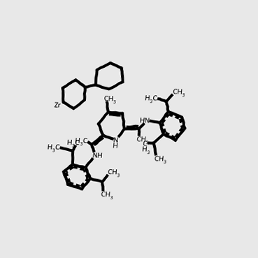 C1CCC(C2CCCCC2)CC1.CC1=C/C(=C(/C)Nc2c(C(C)C)cccc2C(C)C)N/C(=C(/C)Nc2c(C(C)C)cccc2C(C)C)C1.[Zr]